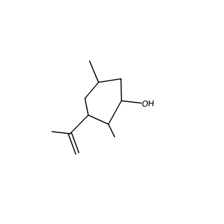 C=C(C)C1CC(C)CC(O)C1C